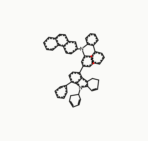 C1=CCC(n2c3c(c4c(-c5cccc(N(c6ccc7c(ccc8ccccc87)c6)c6ccccc6-c6ccccc6)c5)ccc(-c5ccccc5)c42)CCC=C3)C=C1